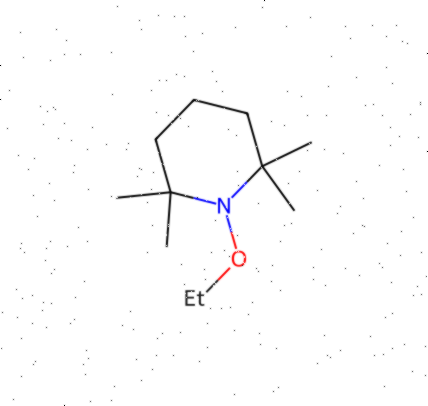 CCON1C(C)(C)CCCC1(C)C